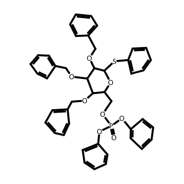 O=P(OCC1OC(Sc2ccccc2)C(OCc2ccccc2)C(OCc2ccccc2)C1OCc1ccccc1)(Oc1ccccc1)Oc1ccccc1